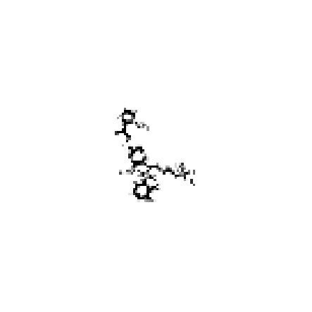 COc1nc(SCC(Cl)c2nccn2C)cnc1N(COCC[Si](C)(C)C)S(=O)(=O)c1cccc(Cl)c1Cl